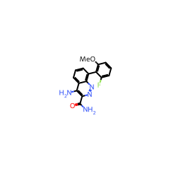 COc1cccc(F)c1-c1cccc2c(N)c(C(N)=O)nnc12